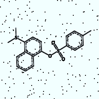 Cc1ccc(S(=O)(=O)Oc2ccc([S+](C)C)c3ccccc23)cc1